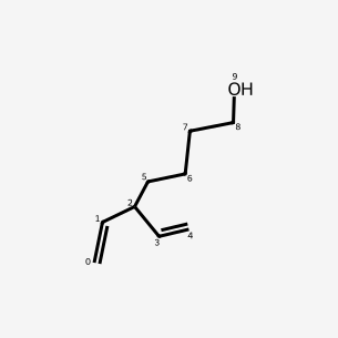 C=CC(C=C)CCCCO